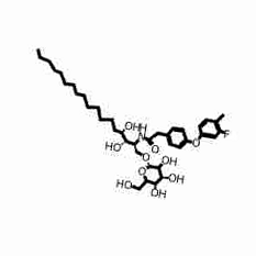 CCCCCCCCCCCCCC[C@@H](O)[C@@H](O)[C@H](CO[C@H]1OC(CO)[C@H](O)[C@H](O)C1O)NC(=O)Cc1ccc(Oc2ccc(C)c(F)c2)cc1